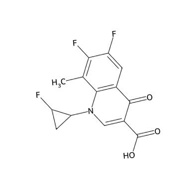 Cc1c(F)c(F)cc2c(=O)c(C(=O)O)cn(C3CC3F)c12